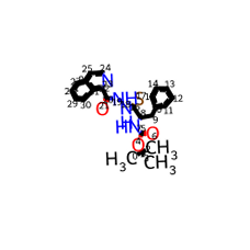 CC(C)(C)OC(=O)NC(Cc1ccccc1)C(=S)NNC(=O)c1nccc2c[c]ccc12